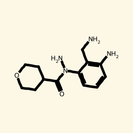 NCc1c(N)cccc1N(N)C(=O)C1CCOCC1